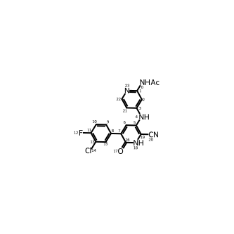 CC(=O)Nc1cc(Nc2cc(-c3ccc(F)c(Cl)c3)c(=O)[nH]c2C#N)ccn1